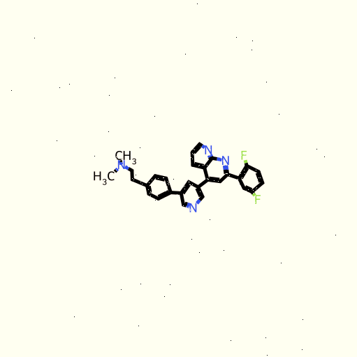 CN(C)CCc1ccc(-c2cncc(-c3cc(-c4cc(F)ccc4F)nc4ncccc34)c2)cc1